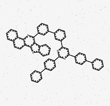 c1ccc(-c2ccc(-c3cc(-c4cccc(-c5cccc(-c6nc7c8ccccc8ccc7c7sc8ccccc8c67)c5)c4)nc(-c4ccc(-c5ccccc5)cc4)n3)cc2)cc1